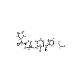 CCCc1cnc(Nc2cccc(CN3CCN(C(=O)C4CCCC4)CC3)c2C)s1